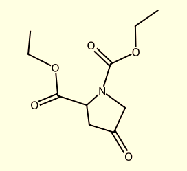 CCOC(=O)C1CC(=O)CN1C(=O)OCC